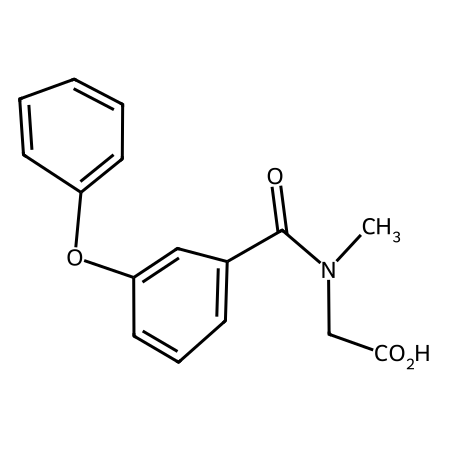 CN(CC(=O)O)C(=O)c1cccc(Oc2ccccc2)c1